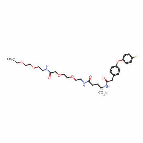 O=[C]COCCOCCNC(=O)COCCOCCNC(=O)CC[C@H](NC(=O)Cc1ccc(Oc2ccc(F)cc2)cc1)C(=O)O